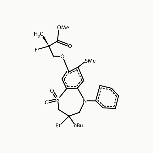 CCCCC1(CC)CN(c2ccccc2)c2cc(SC)c(OC[C@](C)(F)C(=O)OC)cc2S(=O)(=O)C1